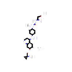 COc1cc2c(Nc3ccc(NC(=O)Nc4cc(C)on4)c(C)c3)ccnc2cc1OCC1(N)CC1